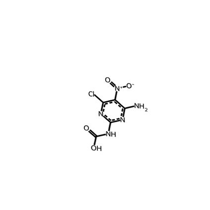 Nc1nc(NC(=O)O)nc(Cl)c1[N+](=O)[O-]